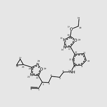 C=CC(CCCCNc1cccc(-c2nnc(OCC)o2)c1)c1nc(C2CC2)no1